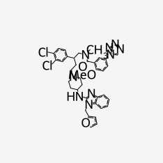 COc1ccc(-n2cnnn2)cc1C(=O)N(C)CC(CCN1CCC(Nc2nc3ccccc3n2Cc2ccco2)CC1)c1ccc(Cl)c(Cl)c1